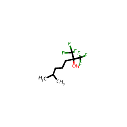 CC(C)CCCC(O)(C(F)(F)F)C(F)(F)F